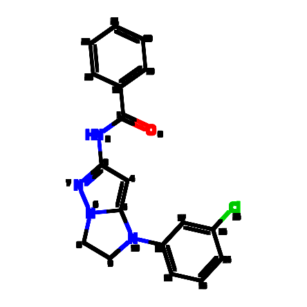 O=C(Nc1cc2n(n1)CCN2c1cccc(Cl)c1)c1ccccc1